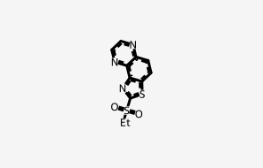 CCS(=O)(=O)c1nc2c(ccc3nccnc32)s1